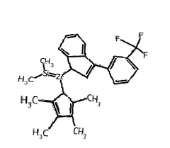 CC1=C(C)[CH]([Zr]([CH]2C=C(c3cccc(C(F)(F)F)c3)c3ccccc32)=[Si](C)C)C(C)=C1C